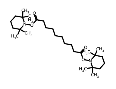 CC1(C)CCCC(C)(C)N1OC(=O)CCCCCCCCC(=O)ON1C(C)(C)CCCC1(C)C